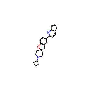 C1=Cc2nc(-c3ccc4c(c3)CC3(CCN(C5CCC5)CC3)O4)ccc2C1